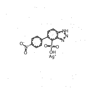 O=[N+]([O-])c1ccc(-c2ccc3[nH]nnc3c2S(=O)(=O)O)cc1.[Ag+]